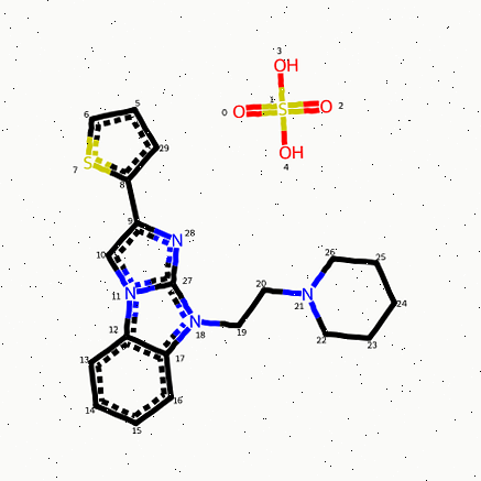 O=S(=O)(O)O.c1csc(-c2cn3c4ccccc4n(CCN4CCCCC4)c3n2)c1